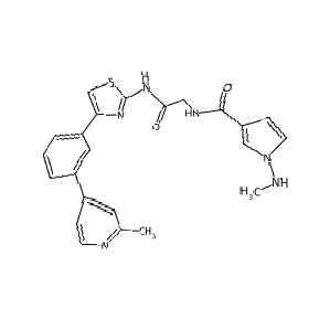 CNn1ccc(C(=O)NCC(=O)Nc2nc(-c3cccc(-c4ccnc(C)c4)c3)cs2)c1